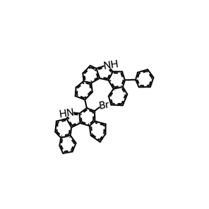 Brc1c(-c2ccc3ccc4[nH]c5cc(-c6ccccc6)c6ccccc6c5c4c3c2)c2[nH]c3ccc4ccccc4c3c2c2ccccc12